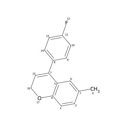 Cc1ccc2c(c1)C(c1ccc(F)cc1)=CCO2